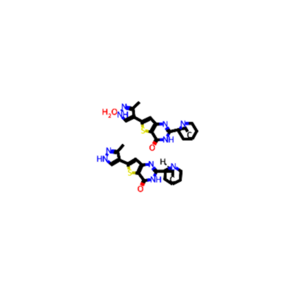 Cc1n[nH]cc1-c1cc2nc(C3CC4CCN3CC4)[nH]c(=O)c2s1.Cc1n[nH]cc1-c1cc2nc([C@@H]3CC4CCN3CC4)[nH]c(=O)c2s1.O